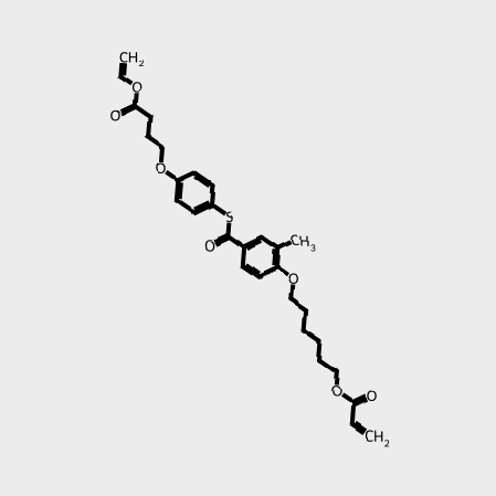 C=COC(=O)CCCOc1ccc(SC(=O)c2ccc(OCCCCCCOC(=O)C=C)c(C)c2)cc1